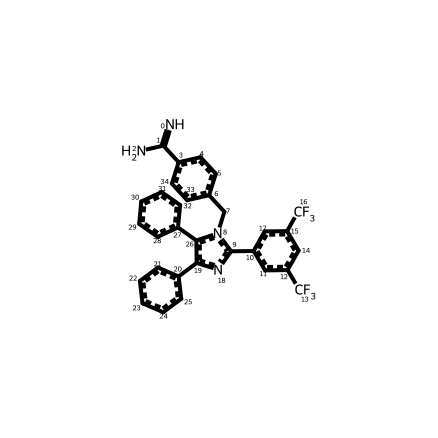 N=C(N)c1ccc(Cn2c(-c3cc(C(F)(F)F)cc(C(F)(F)F)c3)nc(-c3ccccc3)c2-c2ccccc2)cc1